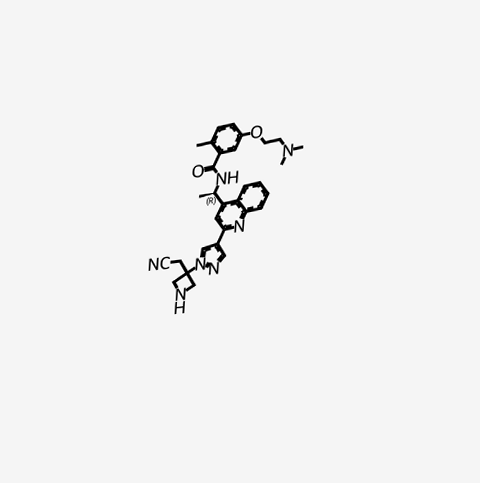 Cc1ccc(OCCN(C)C)cc1C(=O)N[C@H](C)c1cc(-c2cnn(C3(CC#N)CNC3)c2)nc2ccccc12